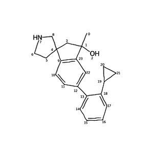 CC1(O)CC2(CCNC2)c2ccc(-c3ccccc3C3CC3)cc21